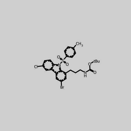 Cc1ccc(S(=O)(=O)n2c3ccc(Cl)cc3c3cc(Br)cc(CCCNC(=O)OC(C)(C)C)c32)cc1